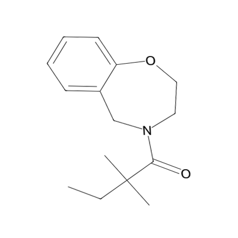 CCC(C)(C)C(=O)N1CCOc2ccccc2C1